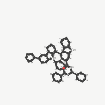 c1ccc(-c2ccc3c(c2)c2cccc(-c4cc(-c5nc(-c6ccccc6)nc(-c6ccccc6)n5)cc5oc6ccccc6c45)c2n3-c2ccccc2)cc1